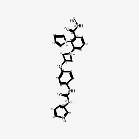 O=C(Nc1ccc(OC2CN(c3cccc(C(=O)NO)c3-n3cccc3)C2)cc1)Nc1cccnc1